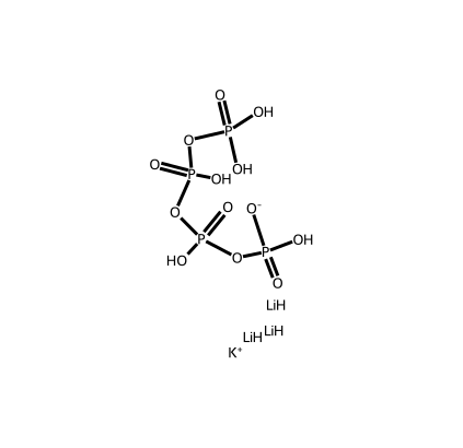 O=P([O-])(O)OP(=O)(O)OP(=O)(O)OP(=O)(O)O.[K+].[LiH].[LiH].[LiH]